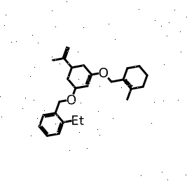 C=C(C)C1CC(OCC2=C(C)CCCC2)=CC(OCc2ccccc2CC)C1